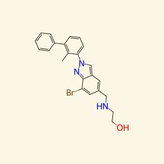 Cc1c(-c2ccccc2)cccc1-n1cc2cc(CNCCO)cc(Br)c2n1